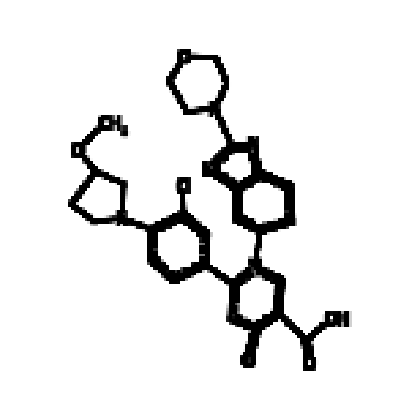 COC1CCN(c2ccc(-c3cc(=O)c(C(=O)O)cn3-c3ccc4nc(N5CCOCC5)sc4c3)cc2Cl)C1